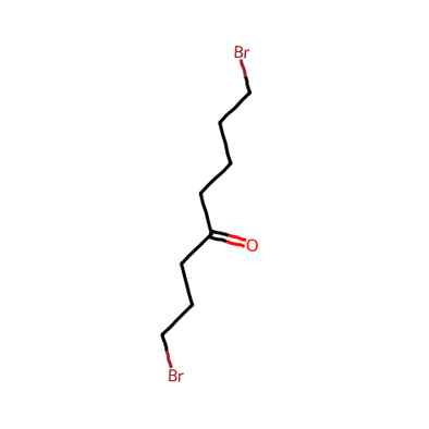 O=C(CCCBr)CCCCBr